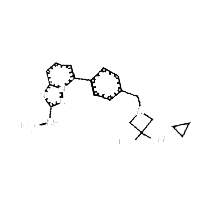 C1CC1.CC1(C)CN(Cc2ccc(-c3cccc4nc(NC(=O)O)nn34)cc2)C1